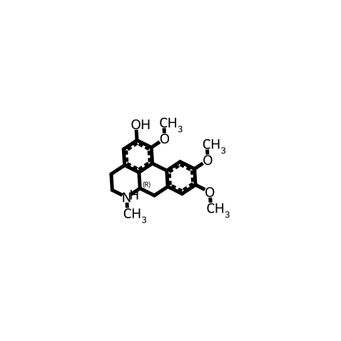 COc1cc2c(cc1OC)-c1c(OC)c(O)cc3c1[C@@H](C2)N(C)CC3